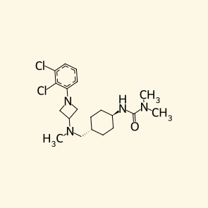 CN(C)C(=O)N[C@H]1CC[C@H](CN(C)C2CN(c3cccc(Cl)c3Cl)C2)CC1